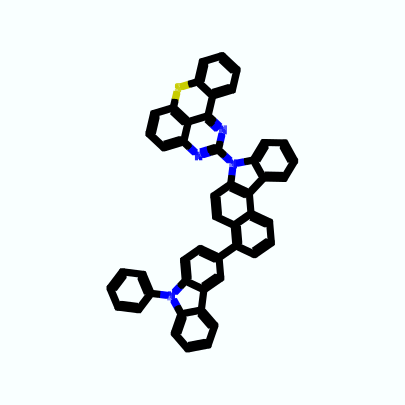 c1ccc(-n2c3ccccc3c3cc(-c4cccc5c4ccc4c5c5ccccc5n4-c4nc5c6c(cccc6n4)Sc4ccccc4-5)ccc32)cc1